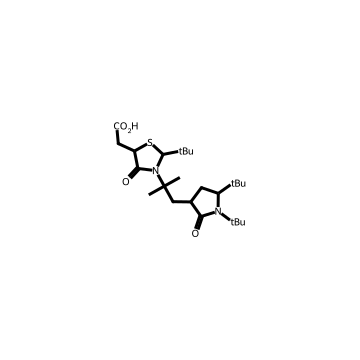 CC(C)(C)C1CC(CC(C)(C)N2C(=O)C(CC(=O)O)SC2C(C)(C)C)C(=O)N1C(C)(C)C